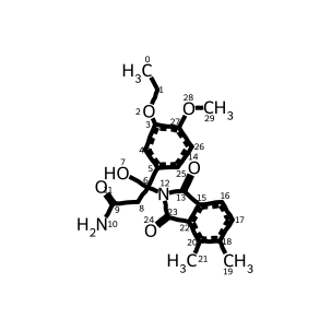 CCOc1cc(C(O)(CC(N)=O)N2C(=O)c3ccc(C)c(C)c3C2=O)ccc1OC